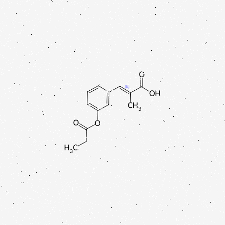 CCC(=O)Oc1cccc(/C=C(\C)C(=O)O)c1